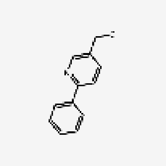 ClCc1ccc(-c2ccccc2)nc1